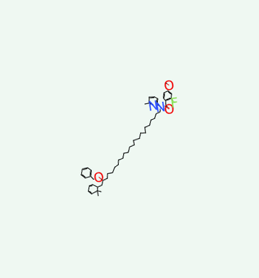 COc1ccc(C(=O)N(CCCCCCCCCCCCCCCCCCCCCC(CC2C=CC=CC2(C)C)OCc2ccccc2)c2cccc(C)n2)c(F)c1